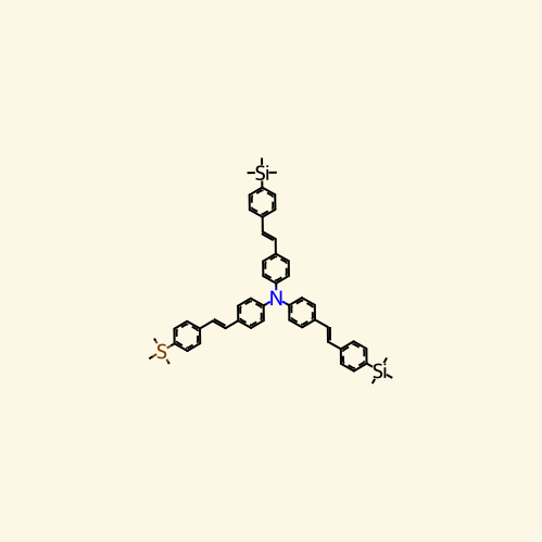 C[Si](C)(C)c1ccc(/C=C/c2ccc(N(c3ccc(/C=C/c4ccc([Si](C)(C)C)cc4)cc3)c3ccc(/C=C/c4ccc(S(C)(C)C)cc4)cc3)cc2)cc1